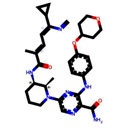 C=N/C(=C\C=C(/C)C(=O)N[C@@H]1CCCN(c2cnc(C(N)=O)c(Nc3ccc(OC4CCOCC4)cc3)n2)[C@@H]1C)C1CC1